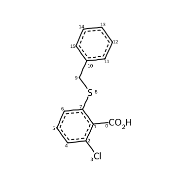 O=C(O)c1c(Cl)cccc1SCc1ccccc1